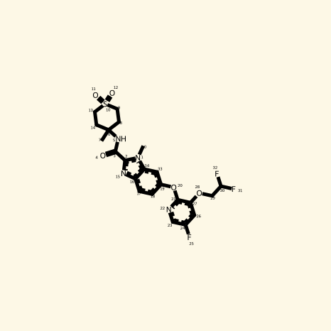 Cn1c(C(=O)NC2(C)CCS(=O)(=O)CC2)nc2ccc(Oc3ncc(F)cc3OCC(F)F)cc21